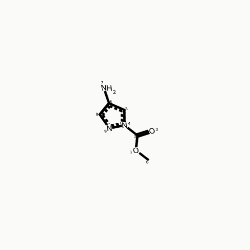 COC(=O)n1cc(N)cn1